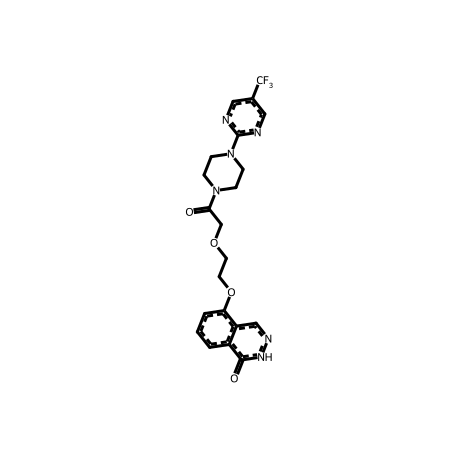 O=C(COCCOc1cccc2c(=O)[nH]ncc12)N1CCN(c2ncc(C(F)(F)F)cn2)CC1